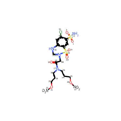 NS(=O)(=O)c1cc2c(cc1Cl)NCN(CC(=O)N(CCCO[N+](=O)[O-])CCCO[N+](=O)[O-])S2(=O)=O